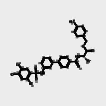 Cc1ccc(COC(=O)[C@@H](NC(=O)c2ccc(-c3cccc(NS(=O)(=O)c4cc(Cl)c(Cl)cc4Cl)c3)cc2)C(C)C)cc1